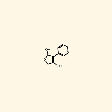 OC1=C(c2ccccc2)N(O)OC1